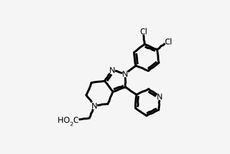 O=C(O)CN1CCc2nn(-c3ccc(Cl)c(Cl)c3)c(-c3cccnc3)c2C1